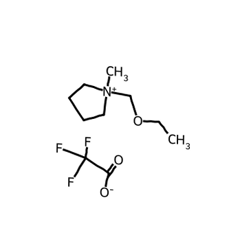 CCOC[N+]1(C)CCCC1.O=C([O-])C(F)(F)F